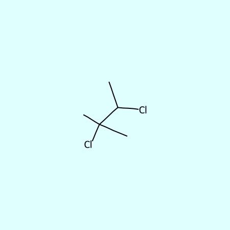 CC(Cl)C(C)(C)Cl